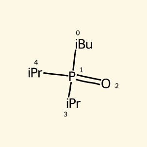 CCC(C)P(=O)(C(C)C)C(C)C